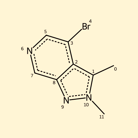 Cc1c2c(Br)cncc2nn1C